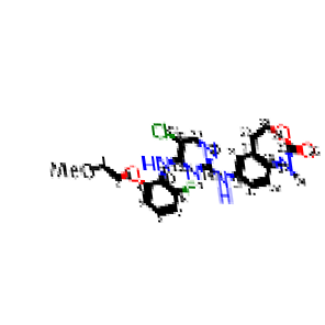 COCCOc1cccc(F)c1Nc1nc(Nc2ccc3c(c2)CCOC(=O)N3C)ncc1Cl